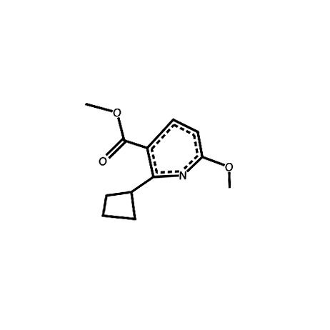 COC(=O)c1ccc(OC)nc1C1CCC1